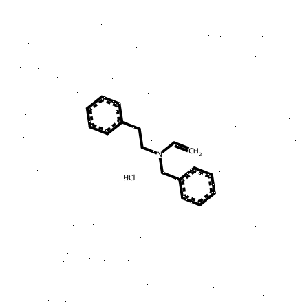 C=CN(CCc1ccccc1)Cc1ccccc1.Cl